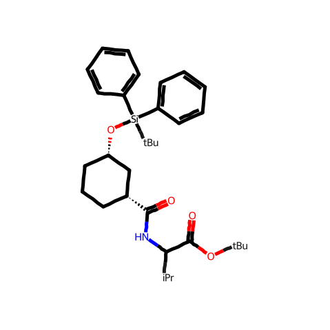 CC(C)C(NC(=O)[C@@H]1CCC[C@H](O[Si](c2ccccc2)(c2ccccc2)C(C)(C)C)C1)C(=O)OC(C)(C)C